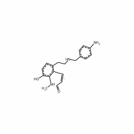 CNc1c(O)ccc(CCNCc2ccc(N)cc2)c1/C=C\C=O